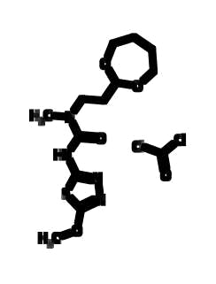 COc1nnc(NC(=O)N(C)CCC2OCCCCO2)s1.O=C(Cl)Cl